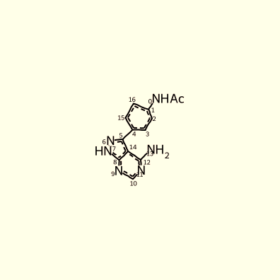 CC(=O)Nc1ccc(-c2n[nH]c3ncnc(N)c23)cc1